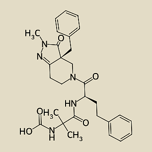 CN1N=C2CCN(C(=O)[C@@H](CCc3ccccc3)NC(=O)C(C)(C)NC(=O)O)C[C@@]2(Cc2ccccc2)C1=O